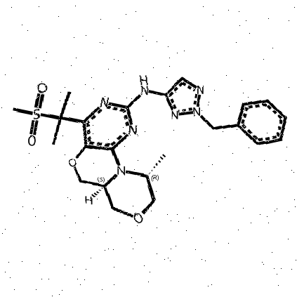 C[C@@H]1COC[C@H]2COc3c(nc(Nc4cnn(Cc5ccccc5)n4)nc3C(C)(C)S(C)(=O)=O)N21